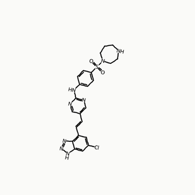 O=S(=O)(c1ccc(Nc2ncc(/C=C/c3cc(Cl)cc4[nH]nnc34)cn2)cc1)N1CCCNCC1